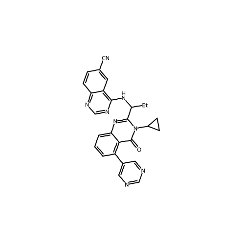 CCC(Nc1ncnc2ccc(C#N)cc12)c1nc2cccc(-c3cncnc3)c2c(=O)n1C1CC1